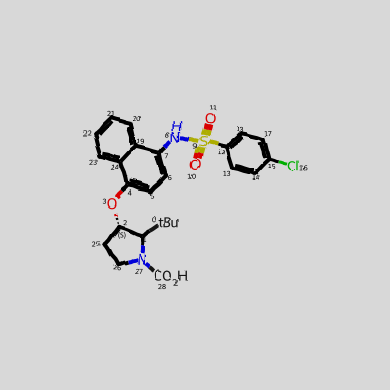 CC(C)(C)C1[C@@H](Oc2ccc(NS(=O)(=O)c3ccc(Cl)cc3)c3ccccc23)CCN1C(=O)O